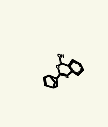 OB1OC(C2CC3C=CC2C3)=Nc2ccccc21